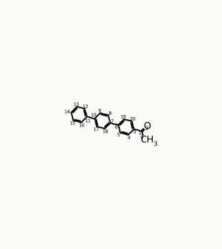 CC(=O)c1ccc(-c2ccc(-c3ccccc3)cc2)cc1